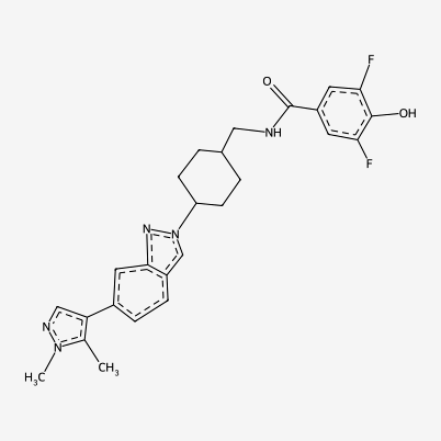 Cc1c(-c2ccc3cn(C4CCC(CNC(=O)c5cc(F)c(O)c(F)c5)CC4)nc3c2)cnn1C